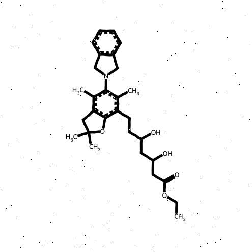 CCOC(=O)CC(O)CC(O)CCc1c(C)c(N2Cc3ccccc3C2)c(C)c2c1OC(C)(C)C2